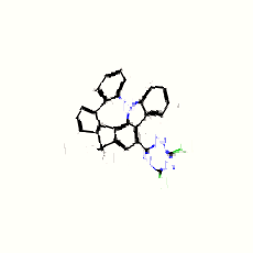 CC1(C)c2cccc3c2-c2c1cc(-c1nc(Cl)nc(Cl)n1)c1c4ccccc4n(c21)-c1ccccc1-3